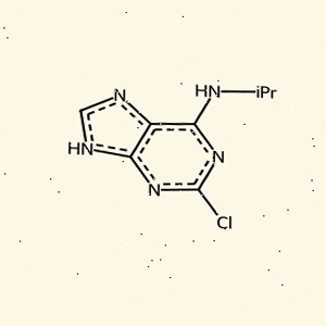 CC(C)Nc1nc(Cl)nc2[nH]cnc12